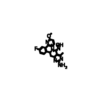 COc1cccc(-c2cc(F)ccc2C2Cc3nc(N)nc(C)c3C(=NO)N2)n1